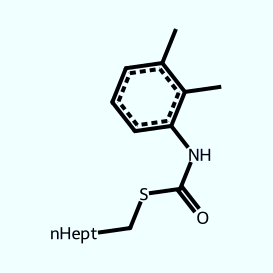 CCCCCCCCSC(=O)Nc1cccc(C)c1C